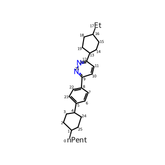 CCCCCC1CCC(c2ccc(-c3ccc(C4CCC(CC)CC4)nn3)cc2)CC1